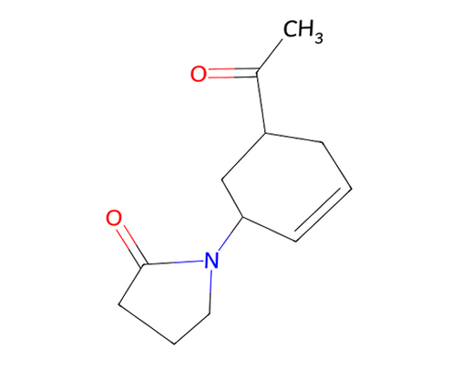 CC(=O)C1CC=CC(N2CCCC2=O)C1